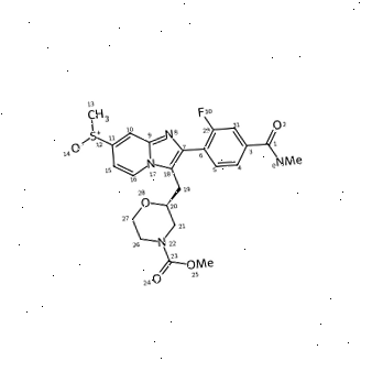 CNC(=O)c1ccc(-c2nc3cc([S+](C)[O-])ccn3c2C[C@H]2CN(C(=O)OC)CCO2)c(F)c1